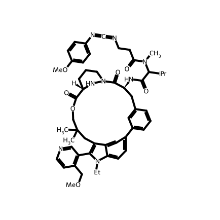 CCn1c(-c2cnccc2COC)c2c3cc(ccc31)-c1cccc(c1)C[C@H](NC(=O)C(C(C)C)N(C)C(=O)CCN=C=Nc1ccc(OC)cc1)C(=O)N1CCC[C@H](N1)C(=O)OCC(C)(C)C2